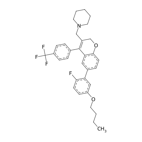 CCCCOc1ccc(F)c(-c2ccc3c(c2)C(c2ccc(C(F)(F)F)cc2)=C(CN2CCCCC2)CO3)c1